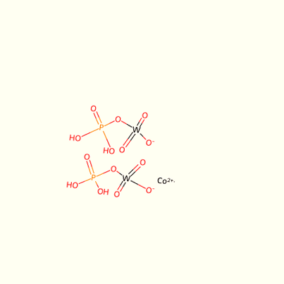 O=P(O)(O)[O][W](=[O])(=[O])[O-].O=P(O)(O)[O][W](=[O])(=[O])[O-].[Co+2]